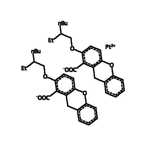 CCCCC(CC)COc1ccc2c(c1C(=O)[O-])Cc1ccccc1O2.CCCCC(CC)COc1ccc2c(c1C(=O)[O-])Cc1ccccc1O2.[Pt+2]